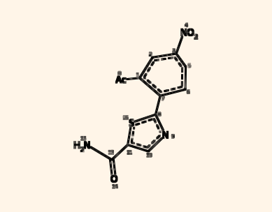 CC(=O)c1cc([N+](=O)[O-])ccc1-c1ncc(C(N)=O)s1